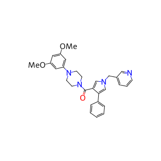 COc1cc(OC)cc(N2CCN(C(=O)c3cn(Cc4cccnc4)cc3-c3ccccc3)CC2)c1